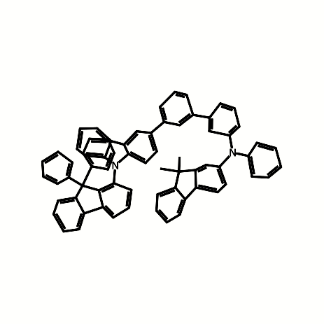 CC1(C)c2ccccc2-c2ccc(N(c3ccccc3)c3cccc(-c4cccc(-c5ccc6c(c5)c5ccccc5n6-c5cccc6c5C(c5ccccc5)(c5ccccc5)c5ccccc5-6)c4)c3)cc21